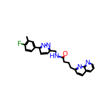 Cc1cc(-c2ccc(CNC(=O)CCCc3ccc4cccnc4n3)nn2)ccc1F